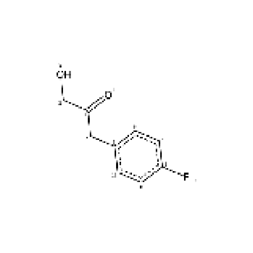 O=C(CO)Cc1ccc(F)cc1